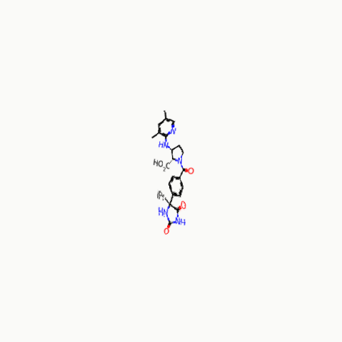 Cc1cnc(N[C@H]2CCN(C(=O)c3ccc([C@@]4(C(C)C)NC(=O)NC4=O)cc3)[C@@H]2C(=O)O)c(C)c1